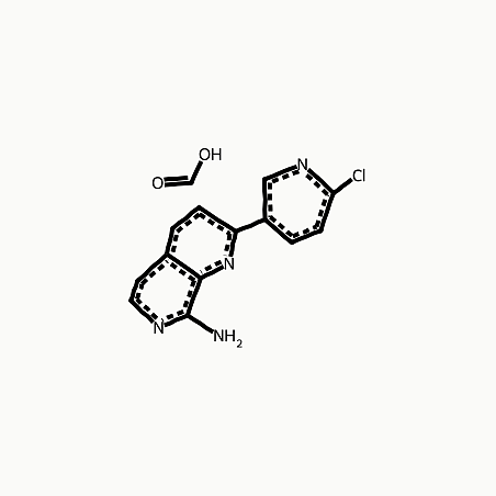 Nc1nccc2ccc(-c3ccc(Cl)nc3)nc12.O=CO